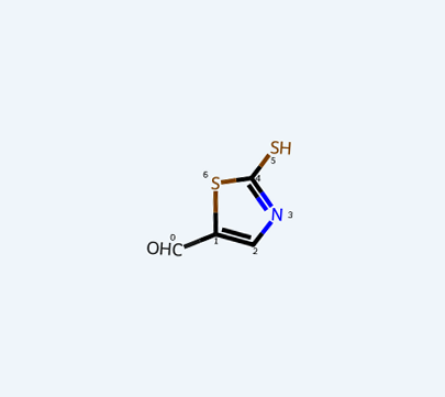 O=Cc1cnc(S)s1